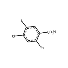 CCc1cc(Cl)c(I)cc1C(=O)O